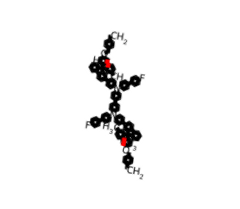 C=Cc1ccc(COc2ccc(C3(c4cc(C)ccc4C)c4ccccc4-c4ccc(-c5ccc(N(c6ccc(-c7ccc(F)cc7)cc6)c6ccc(-c7ccc(N(c8ccc(-c9ccc(F)cc9)cc8)c8ccc(-c9ccc%10c(c9)C(c9ccc(OCc%11ccc(C=C)cc%11)cc9)(c9cc(C)ccc9C)c9ccccc9-%10)cc8)cc7)cc6)cc5)cc43)cc2)cc1